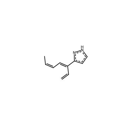 C=C/C(=C\C=C/C)c1cc[nH]n1